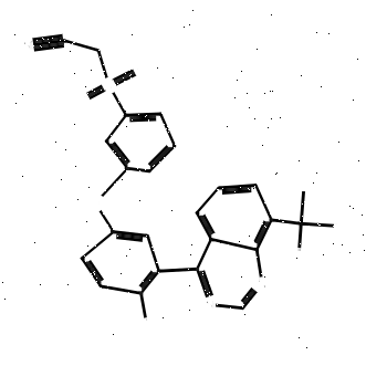 N#CCS(=O)(=O)c1cccc(Oc2ccc(Cl)c(-c3ncnc4c(C(F)(F)F)cccc34)c2)c1